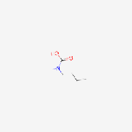 CCCCN(C)C(=O)O